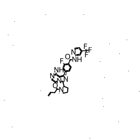 C=CCC(=O)N1CCCC1c1nc(-c2ccc(C(=O)Nc3cc(C(F)(F)F)ccn3)c(F)c2)c2c(N)nccn12